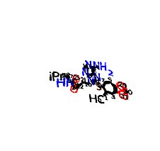 C#CC1=CC2=C(C=CC1Sc1nc3c(N)ncnc3n1CCCS(=O)(=O)NCC(C)C)OCO2